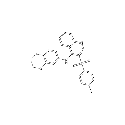 Cc1ccc(S(=O)(=O)c2cnc3ccccc3c2Nc2ccc3c(c2)OCCO3)cc1